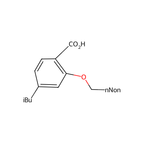 CCCCCCCCCCOc1cc(C(C)CC)ccc1C(=O)O